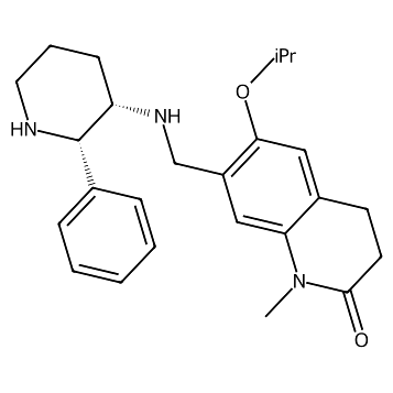 CC(C)Oc1cc2c(cc1CN[C@H]1CCCN[C@H]1c1ccccc1)N(C)C(=O)CC2